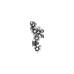 Cc1ccccc1-c1nnc(C2CCN(c3c(C#N)c(=O)n(C)c4cc(O[C@@H]5CCCOC5)ccc34)CC2)o1